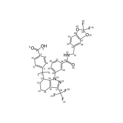 CC(C)(c1ccc(C(=O)O)cc1)C1CCCc2c(C(F)(F)F)nn(-c3cccc(C(=O)NCc4ccc5c(c4)OC(F)(F)O5)c3)c21